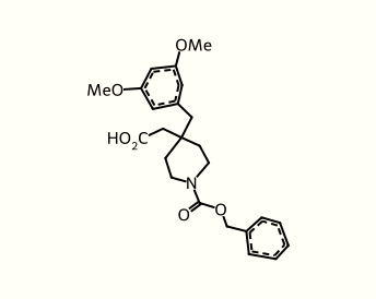 COc1cc(CC2(CC(=O)O)CCN(C(=O)OCc3ccccc3)CC2)cc(OC)c1